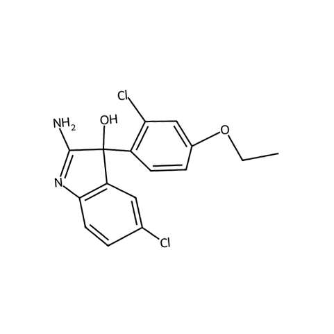 CCOc1ccc(C2(O)C(N)=Nc3ccc(Cl)cc32)c(Cl)c1